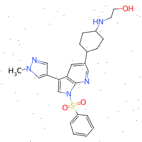 Cn1cc(-c2cn(S(=O)(=O)c3ccccc3)c3ncc(C4CCC(NCCO)CC4)cc23)cn1